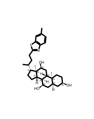 Cc1ccc2nc(CCC(C)[C@H]3CC[C@H]4[C@@H]5[C@H](O)C[C@@H]6C[C@H](O)CC[C@]6(C)[C@H]5C[C@H](O)[C@]34C)sc2c1